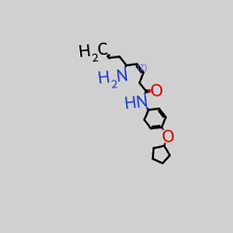 C=CCC(N)/C=C\CC(=O)NC1C=CC(OC2CCCC2)=CC1